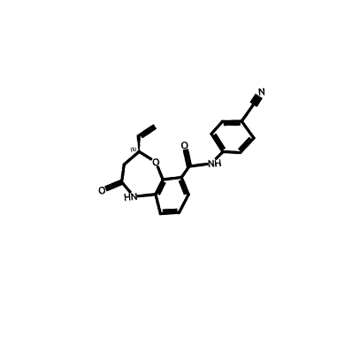 C=C[C@@H]1CC(=O)Nc2cccc(C(=O)Nc3ccc(C#N)cc3)c2O1